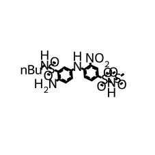 CCCCNS(=O)(=O)c1cc(Nc2ccc(S(=O)(=O)NS(C)(=O)=O)cc2[N+](=O)[O-])ccc1N